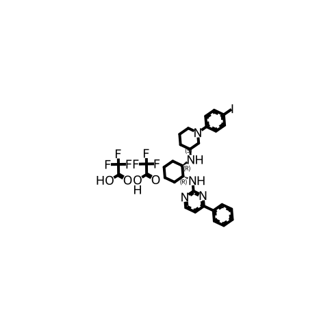 Ic1ccc(N2CCC[C@H](N[C@@H]3CCCC[C@H]3Nc3nccc(-c4ccccc4)n3)C2)cc1.O=C(O)C(F)(F)F.O=C(O)C(F)(F)F